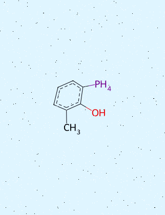 Cc1cccc([PH4])c1O